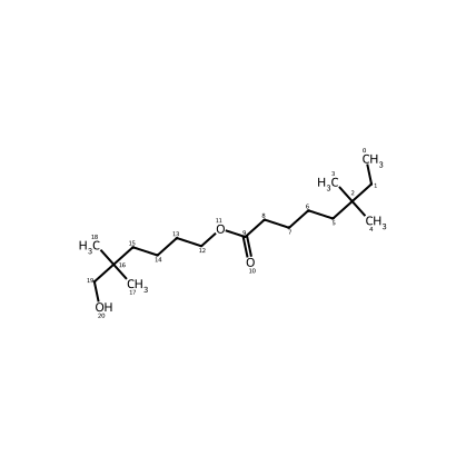 CCC(C)(C)CCCCC(=O)OCCCCC(C)(C)CO